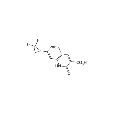 O=C(O)c1cc2ccc(C3CC3(F)F)cc2[nH]c1=O